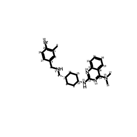 Cc1cc(CNC[C@H]2CC[C@@H](Nc3nc(N(C)C)c4ccccc4n3)CC2)ccc1Br